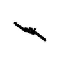 CCCCCCCCCCc1ccc(OC(=O)c2ccc(CCCCCCCCC)cc2)c(F)c1F